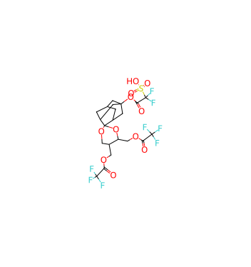 O=C(OCC1COC2(OC1COC(=O)C(F)(F)F)C1CC3CC2CC(OC(=O)C(F)(F)S(=O)(=O)O)(C3)C1)C(F)(F)F